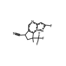 CC1(C(F)(F)F)CC(C#N)c2cnc3cc(F)nn3c21